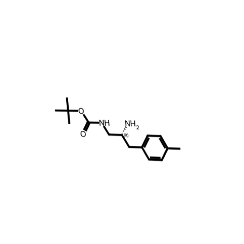 Cc1ccc(C[C@@H](N)CNC(=O)OC(C)(C)C)cc1